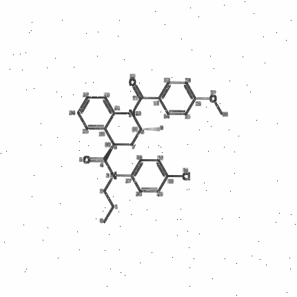 CCCN(C(=O)[C@@H]1C[C@@H](C)N(C(=O)c2ccc(OC)cc2)c2ccccc21)c1ccc(Cl)cc1